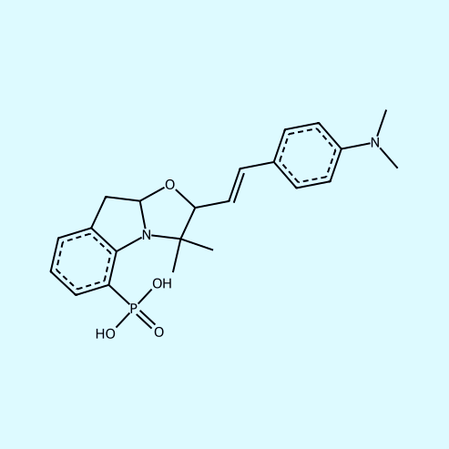 CN(C)c1ccc(C=CC2OC3Cc4cccc(P(=O)(O)O)c4N3C2(C)C)cc1